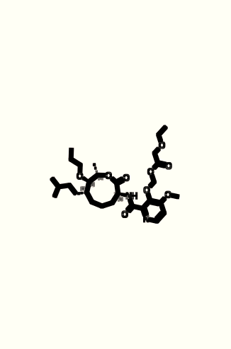 CCCO[C@@H]1[C@@H](CCC(C)C)CCC[C@H](NC(=O)c2nccc(OC)c2OCOC(=O)COCC)C(=O)O[C@H]1C